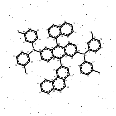 Cc1cccc(N(c2cccc(C)c2)c2ccc3c(-c4cccc5ccccc45)c4cc(N(c5cccc(C)c5)c5cccc(C)c5)ccc4c(-c4ccc5ccc6ccccc6c5c4)c3c2)c1